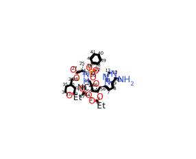 CCC(=O)O[C@H]1[C@H](c2ccc3c(N)ncnn23)O[C@](C#N)(COP(=O)(N[C@@H](C)C(=O)OCC2CCOCC2)Oc2ccccc2)[C@H]1OC(=O)CC